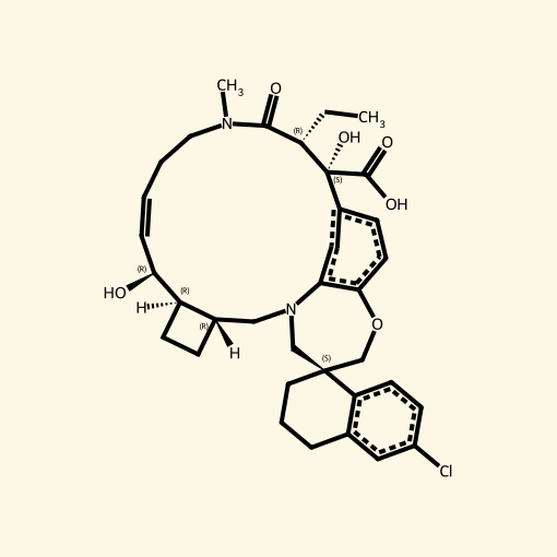 CC[C@H]1C(=O)N(C)CCC=C[C@H](O)[C@@H]2CC[C@H]2CN2C[C@@]3(CCCc4cc(Cl)ccc43)COc3ccc(cc32)[C@]1(O)C(=O)O